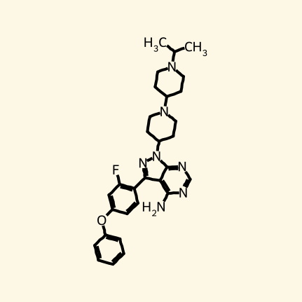 CC(C)N1CCC(N2CCC(n3nc(-c4ccc(Oc5ccccc5)cc4F)c4c(N)ncnc43)CC2)CC1